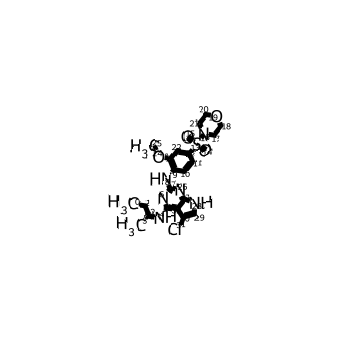 CC[C@H](C)Nc1nc(Nc2ccc(S(=O)(=O)N3CCOCC3)cc2OC)nc2[nH]cc(Cl)c12